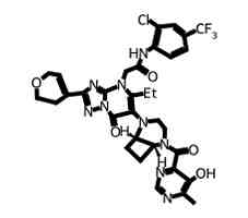 CCc1c(N2CCN(C(=O)c3ncnc(C)c3O)[C@@H]3CC[C@@H]32)c(=O)n2nc(C3=CCOCC3)nc2n1CC(=O)Nc1ccc(C(F)(F)F)cc1Cl